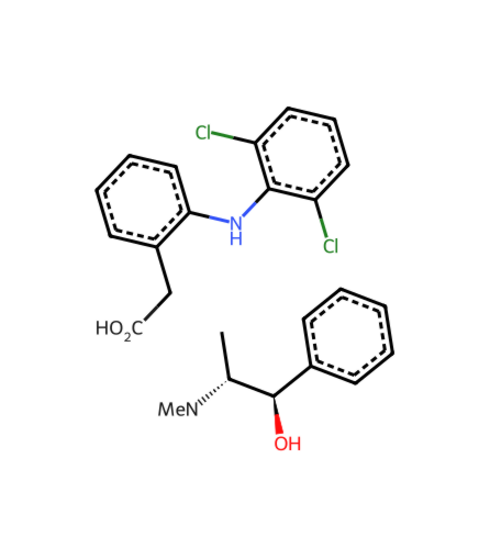 CN[C@H](C)[C@H](O)c1ccccc1.O=C(O)Cc1ccccc1Nc1c(Cl)cccc1Cl